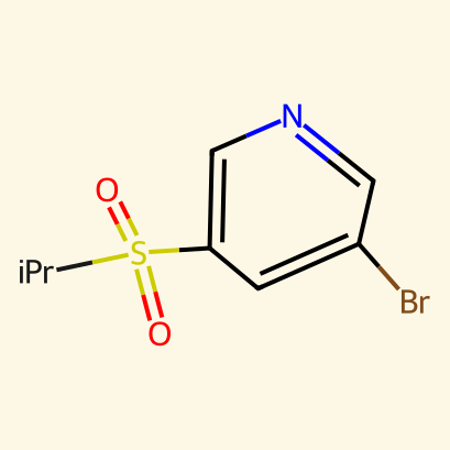 CC(C)S(=O)(=O)c1cncc(Br)c1